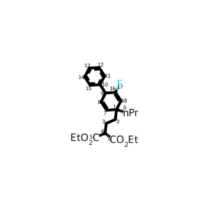 CCCC1(CCC(C(=O)OCC)C(=O)OCC)C=CC(c2ccccc2)C(F)=C1